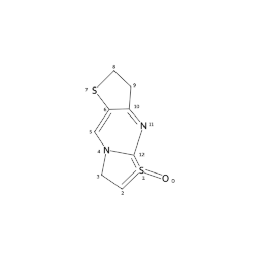 O=S1=CCN2C=C3SCCC3=NC=12